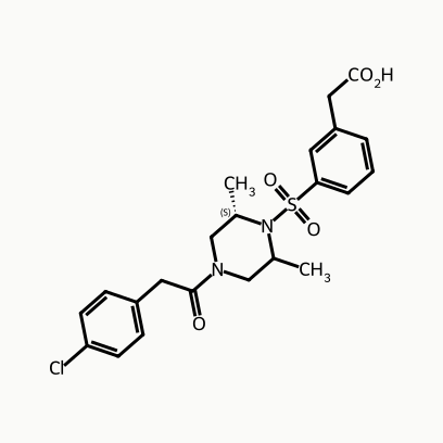 CC1CN(C(=O)Cc2ccc(Cl)cc2)C[C@H](C)N1S(=O)(=O)c1cccc(CC(=O)O)c1